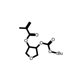 C=C(C)C(=O)OC1COCC1OC(=O)OC(C)(C)C